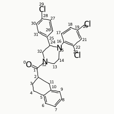 O=C(C1CCc2ccccc2C1)N1CCN(c2ccc(Cl)cc2Cl)C(c2ccc(Cl)cc2)C1